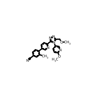 COCc1nnc(-c2ccc(-c3ccc(C#N)cc3C)cn2)n1-c1ccc(OC)nc1